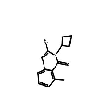 CCc1cc2cccc(C)c2c(=O)n1C1CCC1